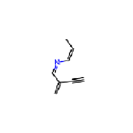 C#CC(=C)/C=N\C=C/C